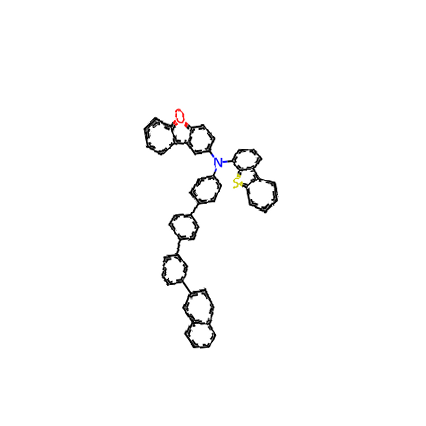 c1cc(-c2ccc(-c3ccc(N(c4ccc5oc6ccccc6c5c4)c4cccc5c4sc4ccccc45)cc3)cc2)cc(-c2ccc3ccccc3c2)c1